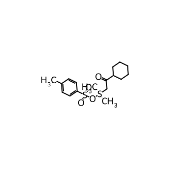 Cc1ccc(S(=O)(=O)OS(C)(C)CC(=O)C2CCCCC2)cc1